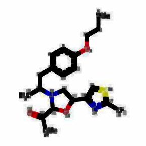 CNCCOc1ccc(CC(C)N2CC(c3csc(C(F)(F)F)n3)OC2C(=O)OC)cc1